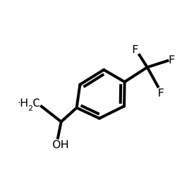 [CH2]C(O)c1ccc(C(F)(F)F)cc1